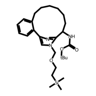 CC(C)(C)OC(=O)NC1CCCCCCc2ccccc2-c2cn(COCC[Si](C)(C)C)c1n2